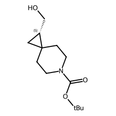 CC(C)(C)OC(=O)N1CCC2(CC1)C[C@@H]2CO